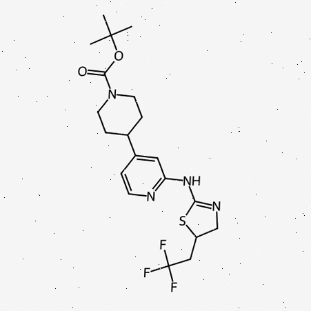 CC(C)(C)OC(=O)N1CCC(c2ccnc(NC3=NCC(CC(F)(F)F)S3)c2)CC1